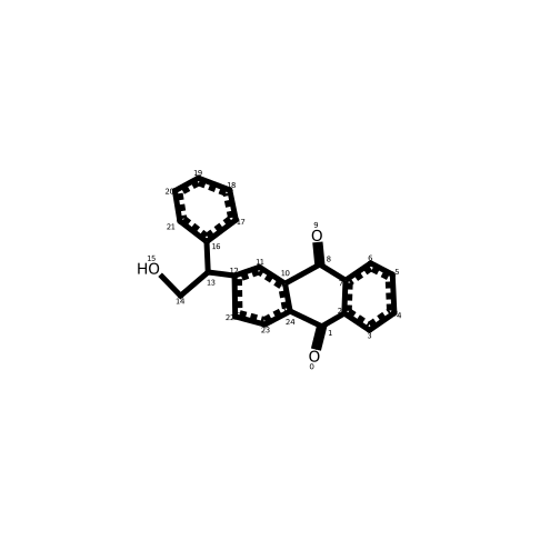 O=C1c2ccccc2C(=O)c2cc(C(CO)c3ccccc3)ccc21